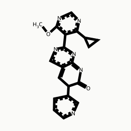 COc1ncnc(C2CC2)c1-c1ncc2c(n1)=NC(=O)C(c1cccnc1)C=2